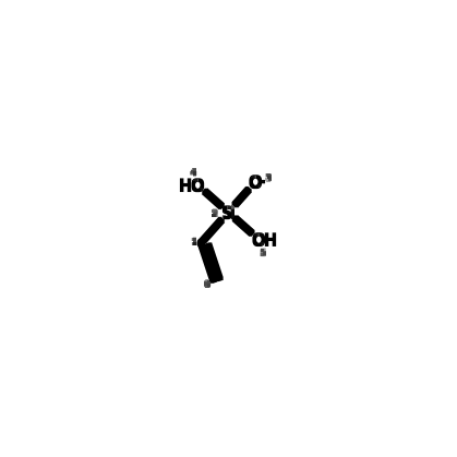 C=C[Si]([O])(O)O